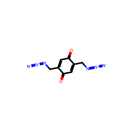 [N-]=[N+]=NCC1=CC(=O)C(CN=[N+]=[N-])=CC1=O